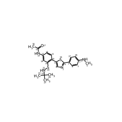 CNc1ccc(-c2ncc(-c3ccc(NC(C)=O)cc3SNC(C)(C)C)s2)cc1